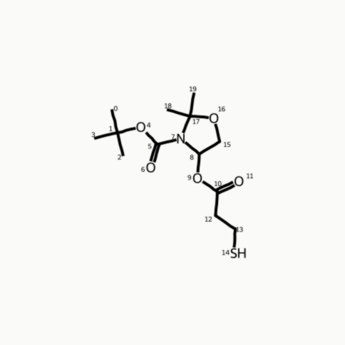 CC(C)(C)OC(=O)N1C(OC(=O)CCS)COC1(C)C